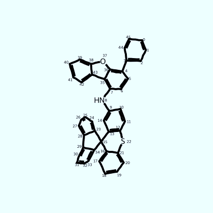 c1ccc(-c2ccc(Nc3ccc4c(c3)C3(c5ccccc5S4)c4ccccc4-c4ccccc43)c3c2oc2ccccc23)cc1